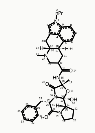 CCCn1cc2c3c(cccc31)[C@H]1CC(C(=O)N[C@]3(C)O[C@@]4(O)[C@@H]5CCCN5C(=O)[C@H](Cc5ccccc5)N4C3=O)CN(C)[C@@H]1C2